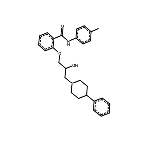 Cc1ccc(NC(=O)c2ccccc2OCC(O)CN2CCC(c3ccccc3)CC2)cc1